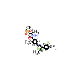 CC(CS(=O)(=O)CC(F)(F)F)NC(=O)c1ccc(/C=C/C(c2ccc(C(F)(F)F)c(F)c2)C(C)(F)F)cc1C(F)(F)F